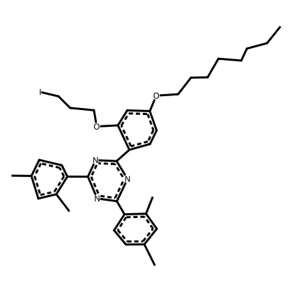 CCCCCCCCOc1ccc(-c2nc(-c3ccc(C)cc3C)nc(-c3ccc(C)cc3C)n2)c(OCCCI)c1